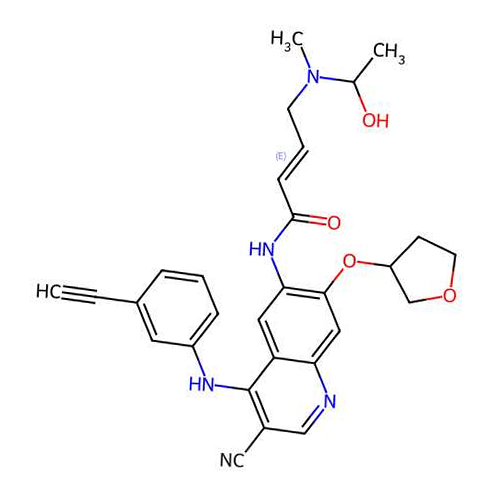 C#Cc1cccc(Nc2c(C#N)cnc3cc(OC4CCOC4)c(NC(=O)/C=C/CN(C)C(C)O)cc23)c1